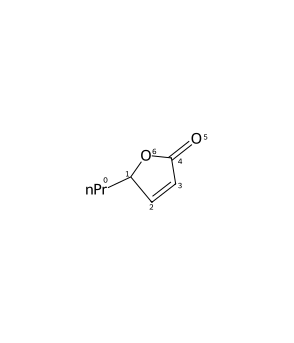 CCCC1C=CC(=O)O1